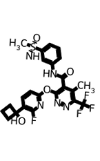 Cc1c(C(F)(F)F)nnc(Oc2ccc(C3(O)CCC3)c(F)n2)c1C(=O)Nc1cccc(S(C)(=N)=O)c1